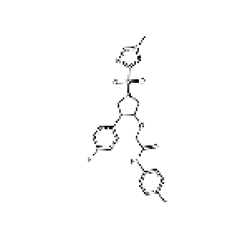 Cn1cnc(S(=O)(=O)N2CC(OCC(=O)Nc3ccc(F)cc3)C(c3ccc(F)cc3)C2)c1